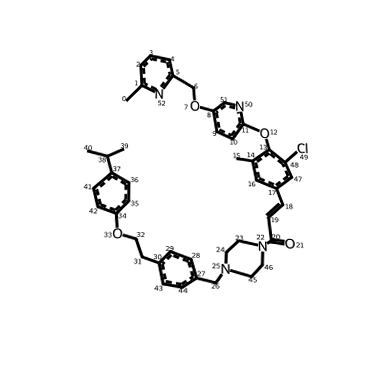 Cc1cccc(COc2ccc(Oc3c(C)cc(C=CC(=O)N4CCN(Cc5ccc(CCOc6ccc(C(C)C)cc6)cc5)CC4)cc3Cl)nc2)n1